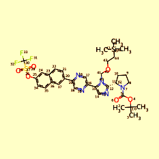 CC(C)(C)OC(=O)N1CCC[C@H]1c1ncc(-c2cnc(-c3ccc4cc(OS(=O)(=O)C(F)(F)F)ccc4c3)cn2)n1COCC[Si](C)(C)C